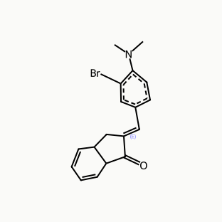 CN(C)c1ccc(/C=C2\CC3C=CC=CC3C2=O)cc1Br